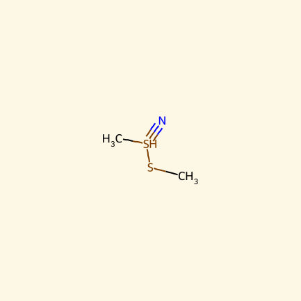 CS[SH](C)#N